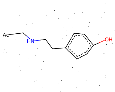 CC(=O)CNCCc1ccc(O)cc1